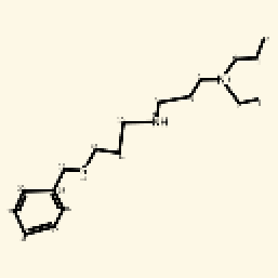 CCCN(CC)CCCNCCCSCc1ccccc1